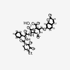 CCN1CCN(C(=O)NC(C(=O)NC2C(=O)N3C(C(=O)C(=O)O)=C(COc4ccc5ccc(=O)oc5c4)C[S+]([O-])C23)c2ccccc2)C(=O)C1=O